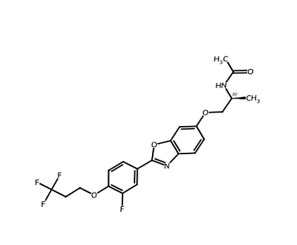 CC(=O)N[C@@H](C)COc1ccc2nc(-c3ccc(OCCC(F)(F)F)c(F)c3)oc2c1